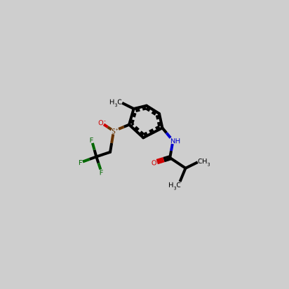 Cc1ccc(NC(=O)C(C)C)cc1[S+]([O-])CC(F)(F)F